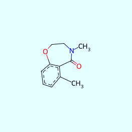 Cc1cccc2c1C(=O)N(C)CCO2